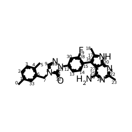 Cc1ccc(C)c(Cn2cnn(-c3ccc(-c4c(C)[nH]c5nc(C)nc(N)c45)c(F)c3)c2=O)c1